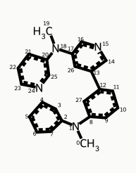 CN(c1ccccc1)c1cccc(-c2cncc(N(C)c3cccnc3)c2)c1